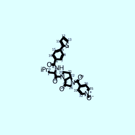 CC(C)CC(NC(=O)c1ccc(-c2cccs2)cc1)C(=O)N1CCC2C1C(=O)CN2C(=O)c1cc[n+]([O-])cc1